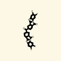 O=C(c1ccc2c(c1)C(=O)n1c-2nc2cc(F)c(F)cc21)c1ccc2c(c1)-c1nc3cc(F)c(F)cc3n1C2=O